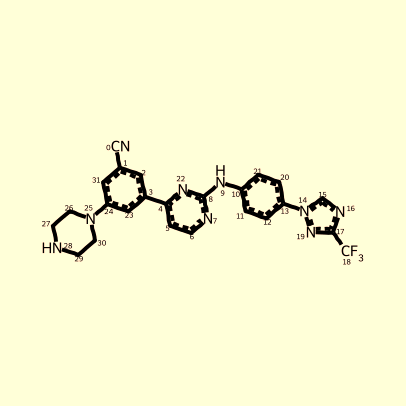 N#Cc1cc(-c2ccnc(Nc3ccc(-n4cnc(C(F)(F)F)n4)cc3)n2)cc(N2CCNCC2)c1